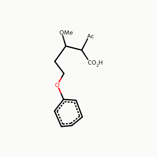 COC(CCOc1ccccc1)C(C(C)=O)C(=O)O